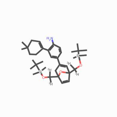 [2H]C([2H])(O[Si](C)(C)C(C)(C)C)C12C=CC(C([2H])([2H])O[Si](C)(C)C(C)(C)C)(CC(c3ccc(N)c(C4=CCC(C)(C)CC4)c3)=C1)O2